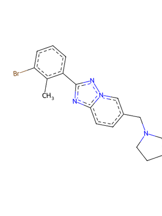 Cc1c(Br)cccc1-c1nc2ccc(CN3CCCC3)cn2n1